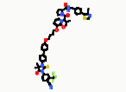 Cc1ncsc1-c1ccc(CNC(=O)[C@@H]2CCCN2C(=O)C(C(C)C)n2cccc(OCCCCOc3ccc(-c4ccc(N5C(=S)N(c6ccc(C#N)c(C(F)(F)F)c6)C(=O)C5(C)C)cc4)cc3)c2=O)cc1